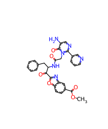 COC(=O)c1ccc2oc(C(=O)C(Cc3ccccc3)NC(=O)Cn3c(-c4cccnc4)ncc(N)c3=O)nc2c1